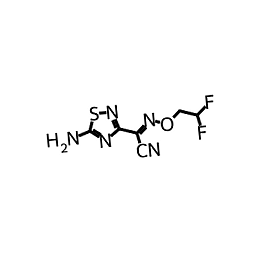 N#CC(=NOCC(F)F)c1nsc(N)n1